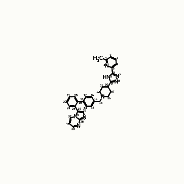 Cc1cccc(-c2nnc(C3CCN(Cc4ccc(-c5ccccc5-c5cnc6ncccn56)cc4)CC3)[nH]2)n1